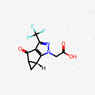 O=C(O)Cn1nc(C(F)(F)F)c2c1[C@@H]1CC1C2=O